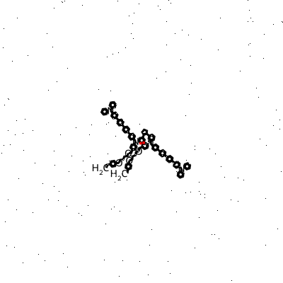 C=Cc1ccc(OCCCCOCc2ccc(N(c3ccc(-c4ccc(-c5ccc(-c6ccc(N(c7ccccc7)c7ccccc7)cc6)cc5)cc4)cc3)c3cccc(C4=C(c5cccc(N(c6ccc(COCCCCOc7ccc(C=C)cc7)cc6)c6ccc(-c7ccc(-c8ccc(-c9ccc(N(c%10ccccc%10)c%10ccccc%10)cc9)cc8)cc7)cc6)c5)CCC4)c3)cc2)cc1